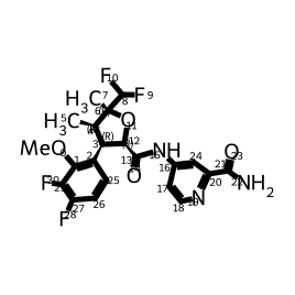 COc1c([C@H]2[C@@H](C)[C@](C)(C(F)F)O[C@H]2C(=O)Nc2ccnc(C(N)=O)c2)ccc(F)c1F